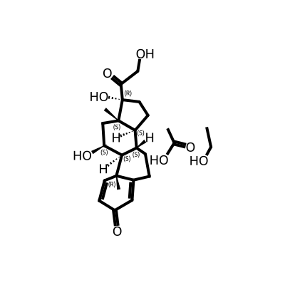 CC(=O)O.CCO.C[C@]12C=CC(=O)C=C1CC[C@@H]1[C@@H]2[C@@H](O)C[C@@]2(C)[C@H]1CC[C@]2(O)C(=O)CO